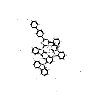 c1ccc(-c2ccc(-c3nc(-c4ccccc4)nc(-n4c5ccccc5c5nc6c(-n7c8ccccc8c8ccccc87)ccc(-n7c8ccccc8c8ccccc87)c6nc54)n3)cc2)cc1